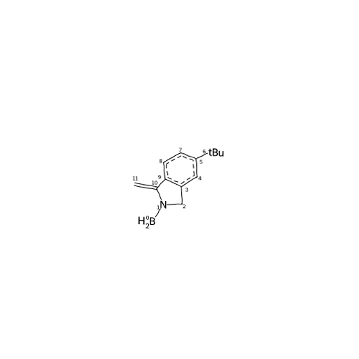 BN1Cc2cc(C(C)(C)C)ccc2C1=C